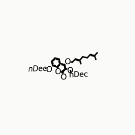 CCCCCCCCCCOc1c(OC/C=C(\C)CCC=C(C)C)c2cccc(OCCCCCCCCCC)c2oc1=O